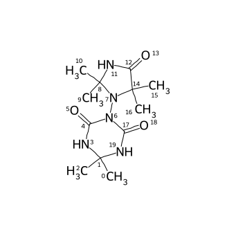 CC1(C)NC(=O)N(N2C(C)(C)NC(=O)C2(C)C)C(=O)N1